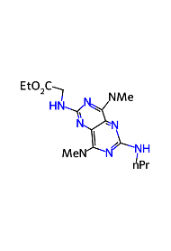 CCCNc1nc(NC)c2nc(NCC(=O)OCC)nc(NC)c2n1